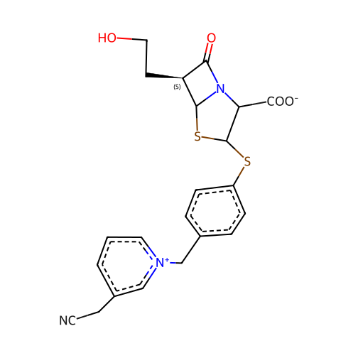 N#CCc1ccc[n+](Cc2ccc(SC3SC4[C@@H](CCO)C(=O)N4C3C(=O)[O-])cc2)c1